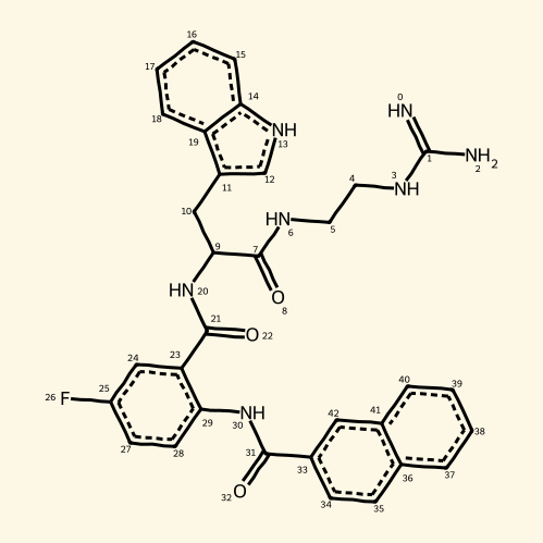 N=C(N)NCCNC(=O)C(Cc1c[nH]c2ccccc12)NC(=O)c1cc(F)ccc1NC(=O)c1ccc2ccccc2c1